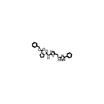 O=C(Nc1ncc(CSc2nc(-c3ccccc3)n[nH]2)s1)[C@@H]1CCCN1C(=O)OCc1ccccc1